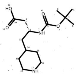 CC(C)(C)OC(=O)N[C@@H](CC(=O)O)CC1CCNCC1